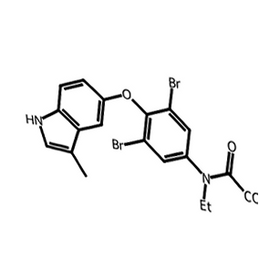 CCN(C(=O)C(=O)O)c1cc(Br)c(Oc2ccc3[nH]cc(C)c3c2)c(Br)c1